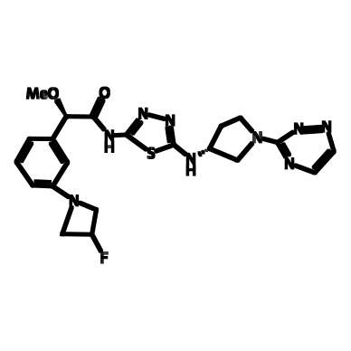 CO[C@@H](C(=O)Nc1nnc(N[C@@H]2CCN(c3nccnn3)C2)s1)c1cccc(N2CC(F)C2)c1